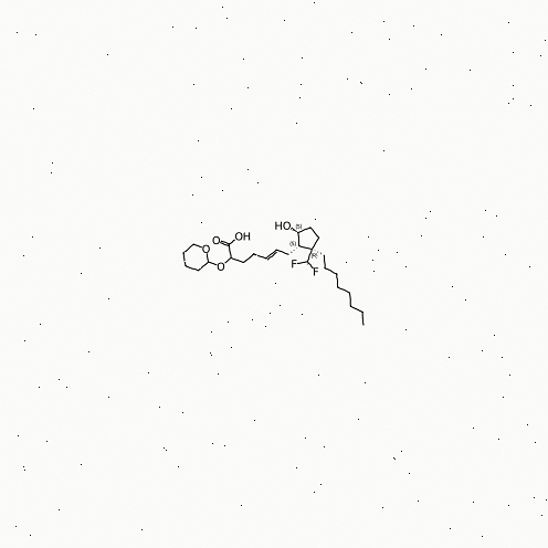 CCCCCCCC[C@@]1([C](F)F)CC[C@H](O)[C@H]1CC=CCCC(OC1CCCCO1)C(=O)O